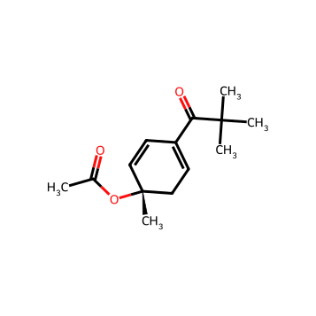 CC(=O)O[C@]1(C)C=CC(C(=O)C(C)(C)C)=CC1